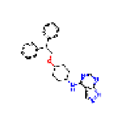 c1ccc(C(COC2CCC(Nc3ncnc4[nH]ncc34)CC2)c2ccccc2)cc1